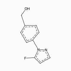 OCc1ccc(-n2nccc2F)cc1